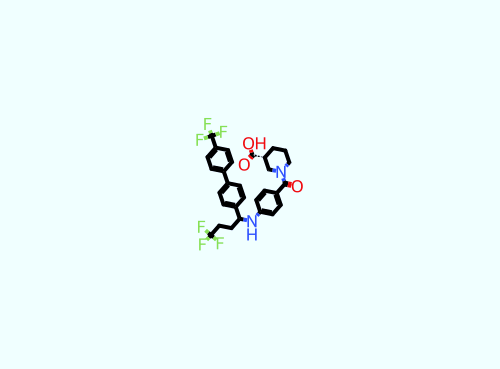 O=C(O)[C@@H]1CCCN(C(=O)c2ccc(NC(CCC(F)(F)F)c3ccc(-c4ccc(C(F)(F)F)cc4)cc3)cc2)C1